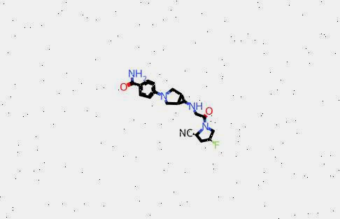 N#C[C@@H]1C[C@H](F)CN1C(=O)CNC1C2CN(c3ccc(C(N)=O)cc3)CC21